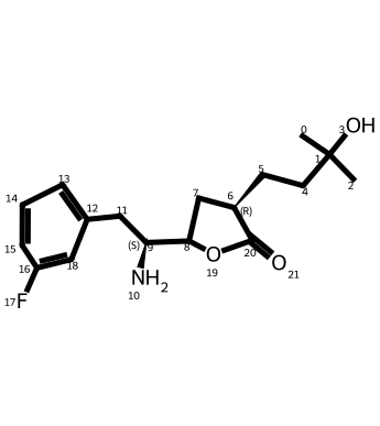 CC(C)(O)CC[C@@H]1CC([C@@H](N)Cc2cccc(F)c2)OC1=O